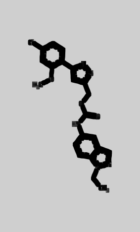 CCn1ncc2cc(NC(=O)OCc3cc(-c4ccc(Cl)cc4OC)ns3)ccc21